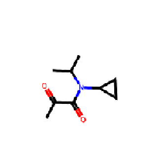 CC(=O)C(=O)N(C(C)C)C1CC1